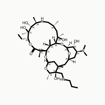 CCCNC[C@]1(O)[C@H](C)O[C@@H]2C[C@]1(C)C[C@@H]1C[C@H](N(C)C)[C@@H](O)[C@@H](O1)O[C@@H]1[C@@H](C)[C@H](O2)[C@@H](C)C(=O)O[C@H](CC)[C@@](C)(O)[C@H](O)[C@@H](C)NC[C@H](C)C[C@@]1(C)O